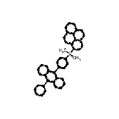 C[Si](C)(c1ccc(-c2c3ccccc3c(-c3ccccc3)c3ccccc23)cc1)c1ccc2ccc3cccc4ccc1c2c34